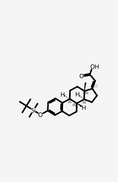 CC(C)(C)[Si](C)(C)Oc1ccc2c(c1)CC[C@@H]1[C@@H]2CC[C@]2(C)/C(=C\C(=O)O)CC[C@@H]12